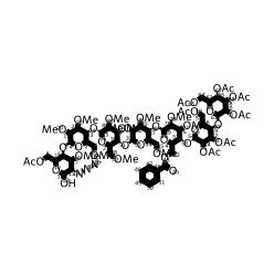 COCC1O[C@@H](O[C@@H]2C(COC(C)=O)OC(O)[C@@H](N=[N+]=[N-])C2OC)C(OC)C(OC)[C@@H]1O[C@H]1OC(COC)[C@@H](O[C@@H]2OC(COC)[C@@H](O[C@@H]3OC(COC(=O)c4ccccc4)[C@@H](O[C@@H]4OC(COC(C)=O)[C@@H](O[C@H]5OC(COC(C)=O)[C@H](OC(C)=O)C(OC(C)=O)C5OC(C)=O)C(OC(C)=O)C4OC(C)=O)C(OC)[C@@H]3OC)C(OC)[C@@H]2OC)C(OC)C1OC